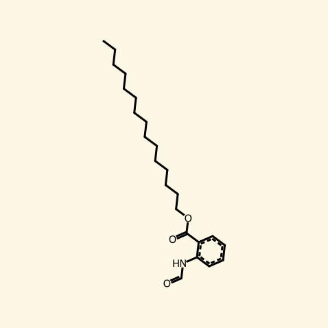 CCCCCCCCCCCCCCCOC(=O)c1ccccc1NC=O